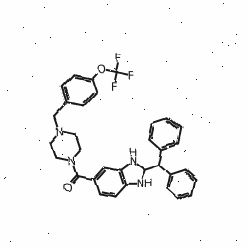 O=C(c1ccc2c(c1)NC(C(c1ccccc1)c1ccccc1)N2)N1CCN(Cc2ccc(OC(F)(F)F)cc2)CC1